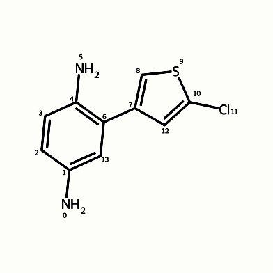 Nc1ccc(N)c(-c2csc(Cl)c2)c1